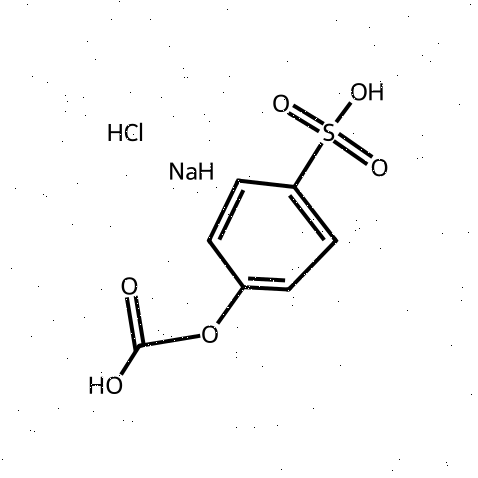 Cl.O=C(O)Oc1ccc(S(=O)(=O)O)cc1.[NaH]